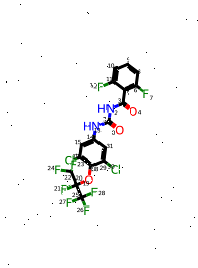 O=C(NC(=O)c1c(F)cccc1F)Nc1cc(Cl)c(OC(F)(C(F)F)C(F)(F)F)c(Cl)c1